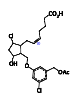 CC(=O)OCc1cc(Cl)cc(OCC2C(O)CC(Cl)C2C/C=C\CCCC(=O)O)c1